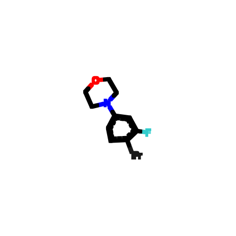 CC(C)c1ccc(N2CCOCC2)cc1F